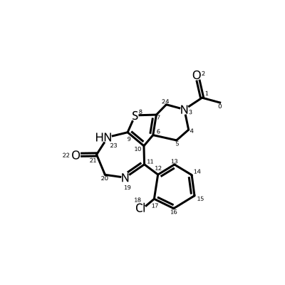 CC(=O)N1CCc2c(sc3c2C(c2ccccc2Cl)=NCC(=O)N3)C1